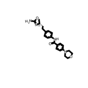 NC1=N[C@@H](CCc2ccc(NC(=O)c3ccc(N4CCOCC4)cc3)cc2)CO1